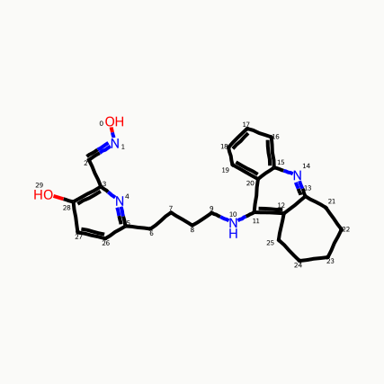 ON=Cc1nc(CCCCNc2c3c(nc4ccccc24)CCCCC3)ccc1O